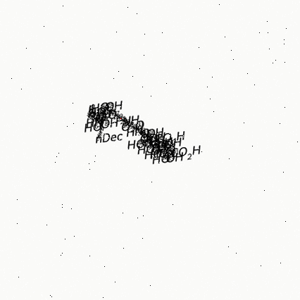 CCCCCCCCCCCCCC[C@@H](O)[C@@H](O)[C@H](COC1OC(COCCCCCCNC(=O)CCCCC(=O)NCCOC2OC(CO)C(OC3OC(C(=O)O)C(O)C(OC4OC(CO)C(OC5OC(C(=O)O)C(O)C(O)C5O)CC4O)C3O)C(O)C2O)C(O)C(O)C1O)NC(=O)Cc1ccc(F)cc1